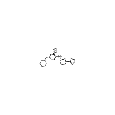 C1=CCN(Cc2ccc(Nc3cccc(-c4nccs4)n3)nc2)CC1.Cl.Cl